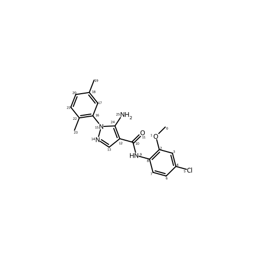 COc1cc(Cl)ccc1NC(=O)c1cnn(-c2cc(C)ccc2C)c1N